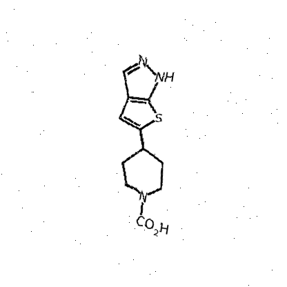 O=C(O)N1CCC(c2cc3cn[nH]c3s2)CC1